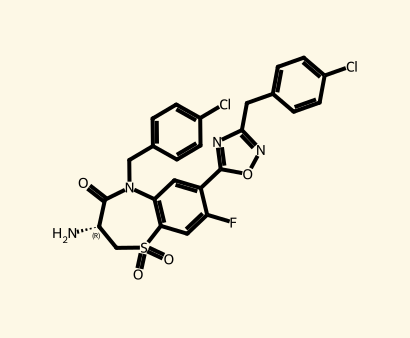 N[C@H]1CS(=O)(=O)c2cc(F)c(-c3nc(Cc4ccc(Cl)cc4)no3)cc2N(Cc2ccc(Cl)cc2)C1=O